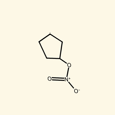 O=[N+]([O-])OC1C[CH]CC1